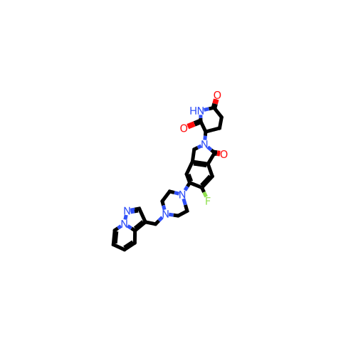 O=C1CCC(N2Cc3cc(N4CCN(Cc5cnn6ccccc56)CC4)c(F)cc3C2=O)C(=O)N1